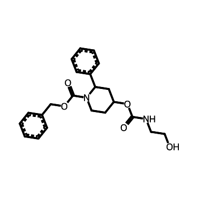 O=C(NCCO)OC1CCN(C(=O)OCc2ccccc2)C(c2ccccc2)C1